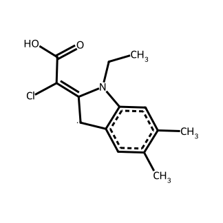 CCN1C(=C(Cl)C(=O)O)[CH]c2cc(C)c(C)cc21